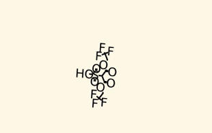 O=C(OCC(F)(F)F)C(C(=O)OCC(F)(F)F)S(=O)(=O)O